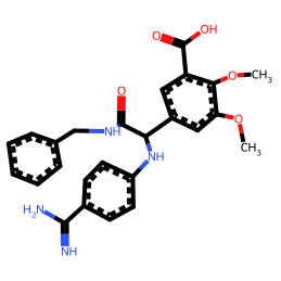 COc1cc(C(Nc2ccc(C(=N)N)cc2)C(=O)NCc2ccccc2)cc(C(=O)O)c1OC